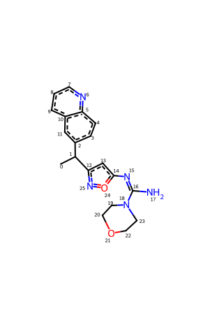 CC(c1ccc2ncccc2c1)c1cc(/N=C(/N)N2CCOCC2)on1